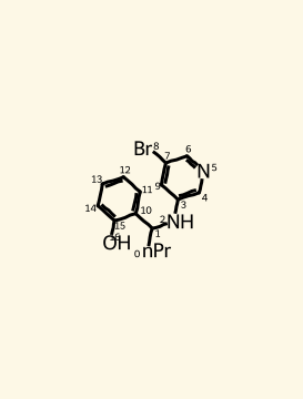 CCCC(Nc1cncc(Br)c1)c1ccccc1O